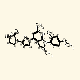 COc1ccc(N2c3nc(C)cc(-n4ccc(N5CCNC5=O)n4)c3CC2C)c(C)c1